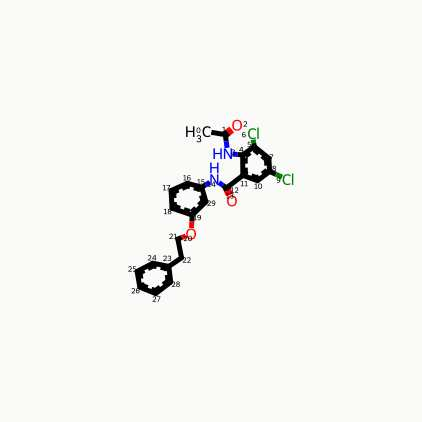 CC(=O)Nc1c(Cl)cc(Cl)cc1C(=O)Nc1cccc(OCCc2ccccc2)c1